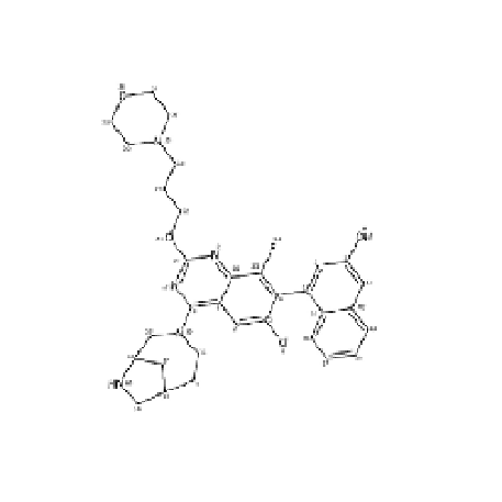 Oc1cc(-c2c(Cl)cc3c(N4CCC5CNC(C5)C4)nc(OCCCN4CCOCC4)nc3c2F)c2ccccc2c1